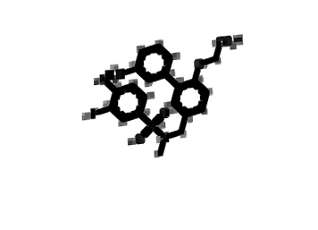 CN(Cc1ccc(OCC(=O)O)c(-c2cccc(N)c2)c1)S(=O)(=O)c1ccc(F)c(F)c1